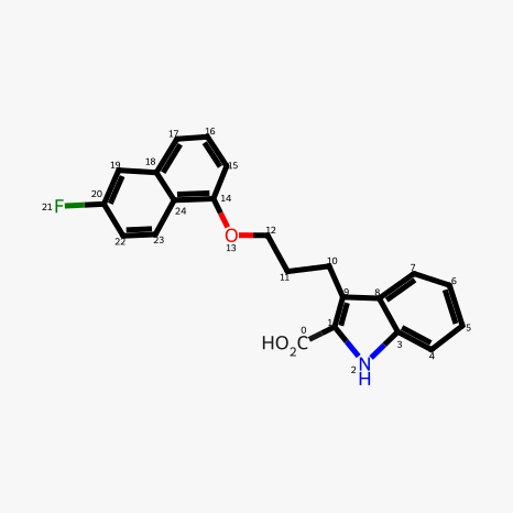 O=C(O)c1[nH]c2ccccc2c1CCCOc1cccc2cc(F)ccc12